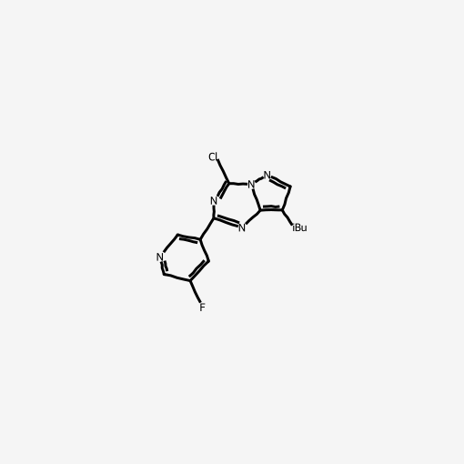 CCC(C)c1cnn2c(Cl)nc(-c3cncc(F)c3)nc12